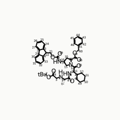 C[C@H](NCC(=O)OC(C)(C)C)C(=O)N[C@H](C(=O)N1C[C@@H](NC(=O)OCC2c3ccccc3-c3ccccc32)C[C@H]1C(=O)OCc1ccccc1)C1CCCCC1